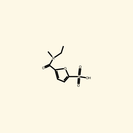 CCN(C)C(=O)c1ccc(S(=O)(=O)O)o1